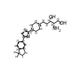 CC1(C)CCc2cc(-c3csc(N4CCN(CC[C@H](O)[C@@H](N)CO)CC4)n3)ccc21